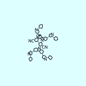 N#Cc1cc(-c2cc(-n3c4ccc(-c5ccnc(-c6ccccc6)c5)cc4c4cc(-c5ccnc(-c6ccccc6)c5)ccc43)c(C#N)cc2-n2c3ccc(-c4ccnc(-c5ccccc5)c4)cc3c3cc(-c4ccnc(-c5ccccc5)c4)ccc32)cc(C(F)(F)F)c1